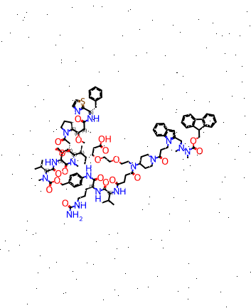 CC[C@H](C)[C@@H]([C@@H](CC(=O)N1CCC[C@H]1[C@H](OC)[C@@H](C)C(=O)N[C@@H](Cc1ccccc1)c1nccs1)OC)N(C)C(=O)[C@@H](NC(=O)[C@H](C(C)C)N(C)C(=O)OCc1ccc(NC(=O)[C@H](CCCNC(N)=O)NC(=O)[C@@H](NC(=O)CCC(=O)N(CCOCCOCCC(=O)O)C2CCN(C(=O)CCn3c(CN(C)N(C)C(=O)OCC4c5ccccc5-c5ccccc54)cc4ccccc43)CC2)C(C)C)cc1)C(C)C